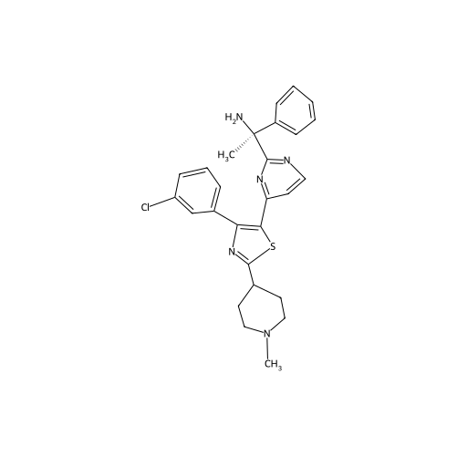 CN1CCC(c2nc(-c3cccc(Cl)c3)c(-c3ccnc([C@@](C)(N)c4ccccc4)n3)s2)CC1